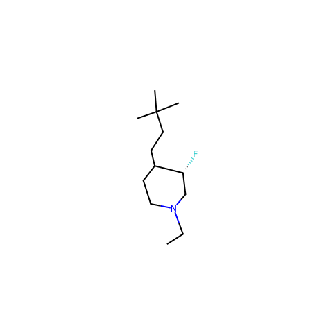 CCN1CCC(CCC(C)(C)C)[C@H](F)C1